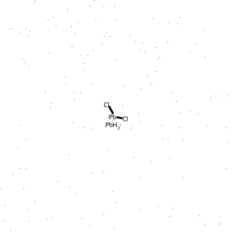 [Cl][Pb][Cl].[PbH2]